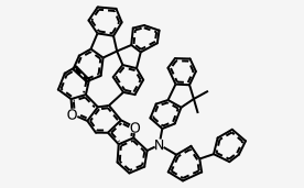 CC1(C)c2ccccc2-c2ccc(N(c3cccc(-c4ccccc4)c3)c3cccc4c3oc3c(-c5ccc6c(c5)C5(c7ccccc7-c7ccccc75)c5ccccc5-6)c5c(cc34)oc3ccccc35)cc21